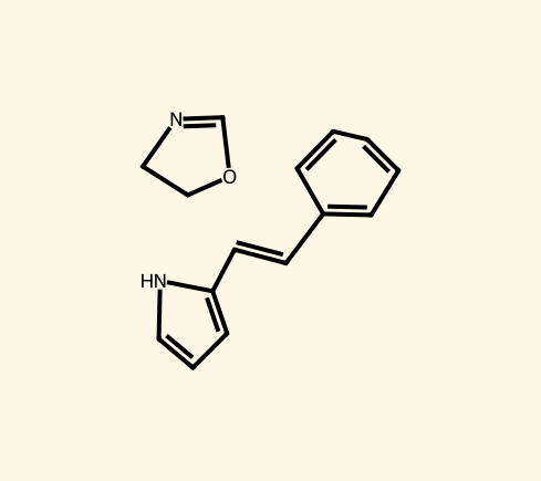 C(=Cc1ccc[nH]1)c1ccccc1.C1=NCCO1